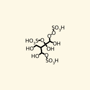 O=S(=O)(O)OOC(O)C(O)(OS(=O)(=O)O)C(CO)C(O)OS(=O)(=O)O